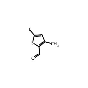 Cc1cc(I)sc1C=O